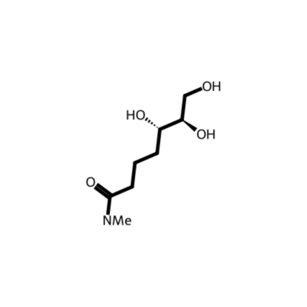 CNC(=O)CCC[C@H](O)[C@H](O)CO